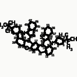 CC(C)(C)c1ccc(N2c3cccc4c3B(c3cc5c(cc3C4)Oc3ccc4c6cc(C(C)(C)C)ccc6n6c4c3B5c3sc4ccccc4c3-6)c3sc4ccccc4c32)cc1